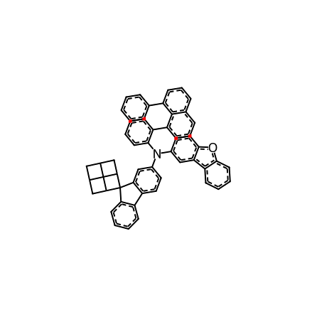 c1ccc(-c2cccc3cccc(-c4ccccc4N(c4ccc5c(c4)C4(c6ccccc6-5)C5CC6CC7CC4C675)c4ccc5oc6ccccc6c5c4)c23)cc1